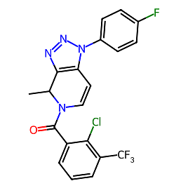 CC1c2nnn(-c3ccc(F)cc3)c2C=CN1C(=O)c1cccc(C(F)(F)F)c1Cl